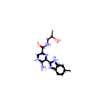 Cc1ccc2nc(-c3nc(C(=O)NCC(C)O)cnc3N)[nH]c2c1